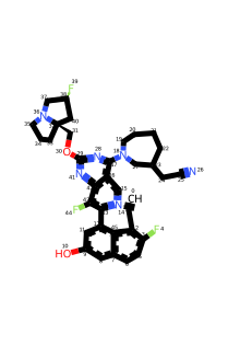 C#Cc1c(F)ccc2cc(O)cc(-c3ncc4c(N5CCCCC(CC#N)C5)nc(OC[C@@]56CCCN5C[C@H](F)C6)nc4c3F)c12